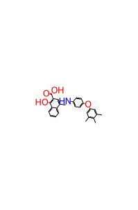 Cc1cc(Oc2ccc(NCc3cc(C(=O)O)c(O)c4ccccc34)cc2)cc(C)c1C